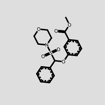 COC(=O)c1cccc(OC(c2ccccc2)S(=O)(=O)N2CCOCC2)c1